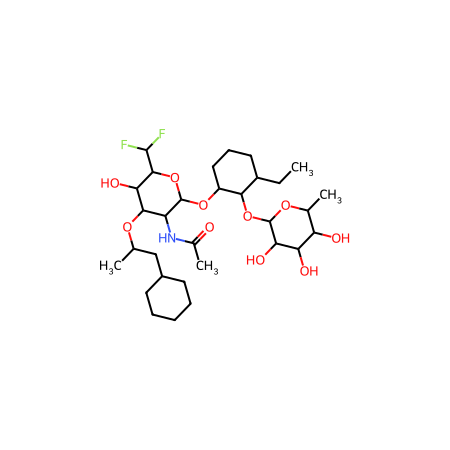 CCC1CCCC(OC2OC(C(F)F)C(O)C(OC(C)CC3CCCCC3)C2NC(C)=O)C1OC1OC(C)C(O)C(O)C1O